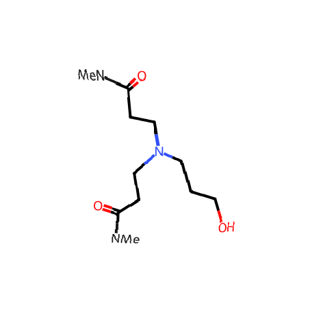 CNC(=O)CCN(CCCO)CCC(=O)NC